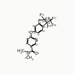 CN(C)C(=O)c1ccc(Oc2ccc(C(F)(C(F)(F)F)C(F)(F)F)cc2)nc1